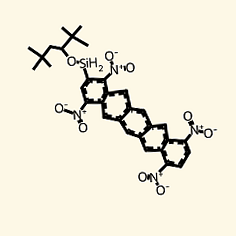 CC(C)(C)CC(O[SiH2]c1cc([N+](=O)[O-])c2cc3cc4cc5c([N+](=O)[O-])ccc([N+](=O)[O-])c5cc4cc3cc2c1[N+](=O)[O-])C(C)(C)C